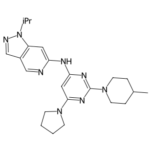 CC1CCN(c2nc(Nc3cc4c(cn3)cnn4C(C)C)cc(N3CCCC3)n2)CC1